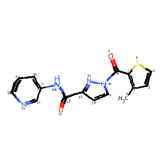 Cc1ccsc1C(=O)n1ccc(C(=O)Nc2cccnc2)n1